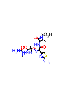 C[C@H]1[C@H](NC(=O)/C(=N\OC(C)(C)C(=O)NN(C)C(N)=O)c2csc(N)n2)C(=O)N1S(=O)(=O)O